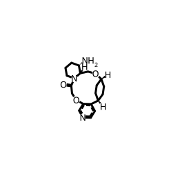 N[C@H]1CCCN2C(=O)COc3cnccc3[C@H]3CC[C@H](CC3)OC[C@@H]12